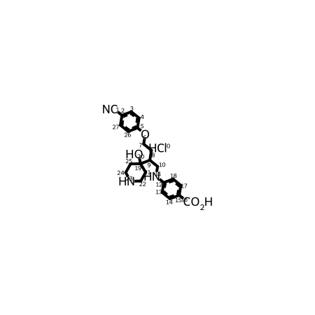 Cl.N#Cc1ccc(OCCC(CNc2ccc(C(=O)O)cc2)C2(O)CCNCC2)cc1